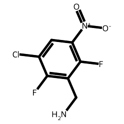 NCc1c(F)c(Cl)cc([N+](=O)[O-])c1F